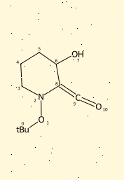 CC(C)(C)ON1CCCC(O)C1=C=O